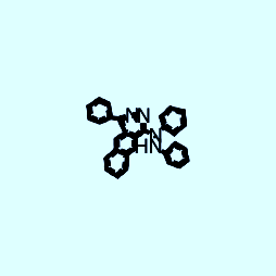 c1ccc(NN(c2ccccc2)c2nnc(-c3ccccc3)c3cc4ccccc4cc23)cc1